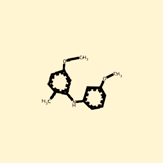 COc1cccc(Nc2cc(OC)ccc2C)c1